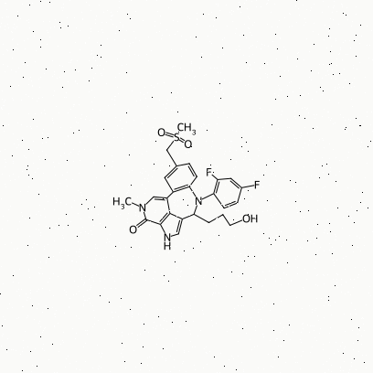 Cn1cc2c3c(c[nH]c3c1=O)C(CCCO)N(c1ccc(F)cc1F)c1ccc(CS(C)(=O)=O)cc1-2